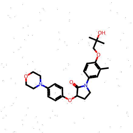 Cc1cc(N2CCC(Oc3ccc(N4CCOCC4)cc3)C2=O)ccc1OCC(C)(C)O